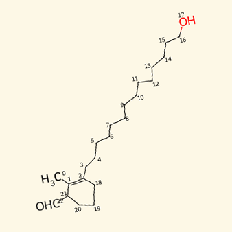 CC1=C(CCCCCCCCCCCCCCO)CCCC1C=O